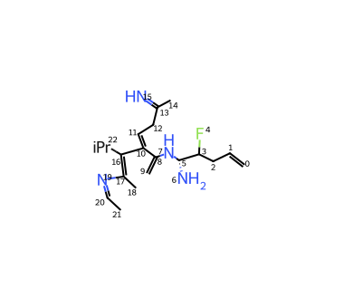 C=CCC(F)[C@H](N)NC(=C)C(=C\CC(C)=N)/C(=C(C)/N=C\C)C(C)C